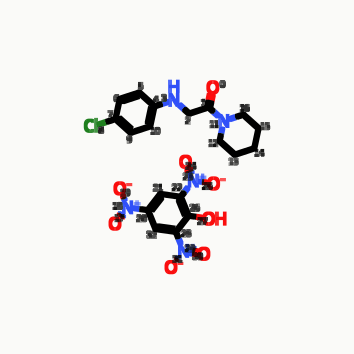 O=C(CNc1ccc(Cl)cc1)N1CCCCC1.O=[N+]([O-])c1cc([N+](=O)[O-])c(O)c([N+](=O)[O-])c1